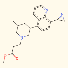 COC(=O)CCN1CC(C)CC(c2ccc(C3=NC3)c3ncccc23)C1